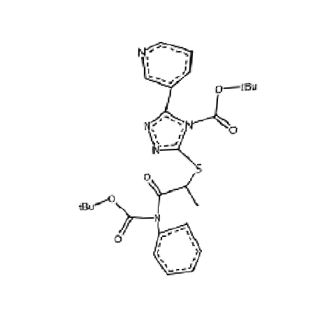 CC(Sc1nnc(-c2cccnc2)n1C(=O)OC(C)(C)C)C(=O)N(C(=O)OC(C)(C)C)c1ccccc1